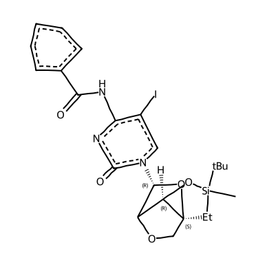 CC[C@@]12COC([C@H](n3cc(I)c(NC(=O)c4ccccc4)nc3=O)O1)[C@H]2O[Si](C)(C)C(C)(C)C